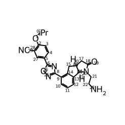 CC(C)Oc1ccc(-c2nc(-c3cccc4c3C[C@H]3CC(=O)N(CCN)[C@@H]43)no2)cc1C#N